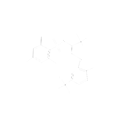 Cc1cc(C)c(S(=O)(=O)NC(CNc2cc(C(F)(F)F)ccc2Cl)C(F)(F)F)c(C)c1